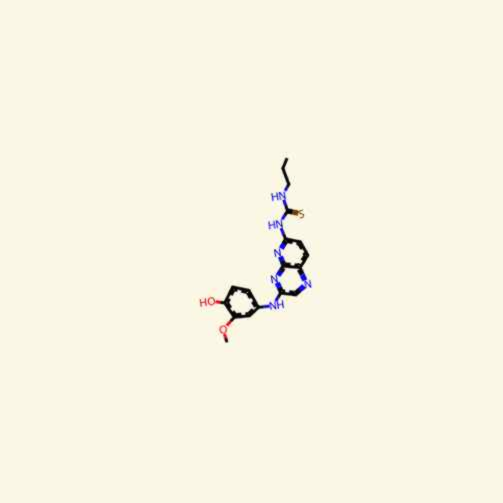 CCCNC(=S)Nc1ccc2ncc(Nc3ccc(O)c(OC)c3)nc2n1